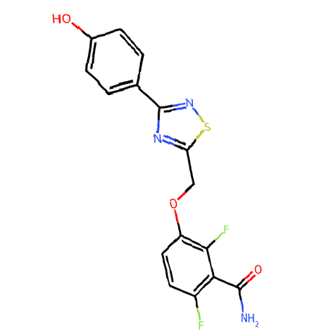 NC(=O)c1c(F)ccc(OCc2nc(-c3ccc(O)cc3)ns2)c1F